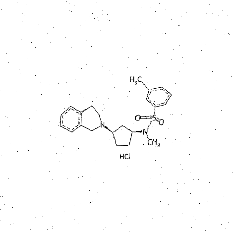 Cc1cccc(S(=O)(=O)N(C)[C@H]2CC[C@@H](N3CCc4ccccc4C3)C2)c1.Cl